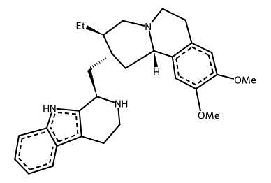 CC[C@H]1CN2CCc3cc(OC)c(OC)cc3[C@@H]2C[C@@H]1C[C@H]1NCCc2c1[nH]c1ccccc21